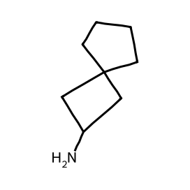 NC1CC2(CCCC2)C1